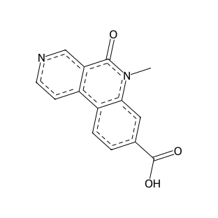 Cn1c(=O)c2cnccc2c2ccc(C(=O)O)cc21